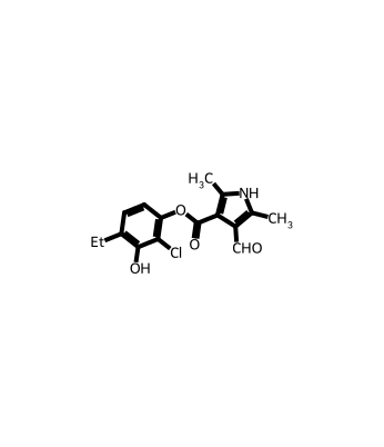 CCc1ccc(OC(=O)c2c(C)[nH]c(C)c2C=O)c(Cl)c1O